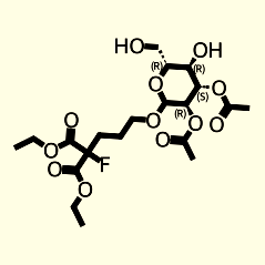 CCOC(=O)C(F)(CCCOC1O[C@H](CO)[C@@H](O)[C@H](OC(C)=O)[C@H]1OC(C)=O)C(=O)OCC